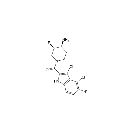 N[C@H]1CCN(C(=O)c2[nH]c3ccc(F)c(Cl)c3c2Cl)C[C@H]1F